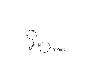 [CH2]CCCCC1CCN(C(=O)c2ccccc2)CC1